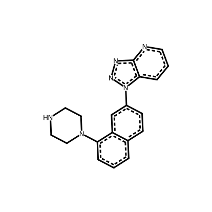 c1cc(N2CCNCC2)c2cc(-n3nnc4ncccc43)ccc2c1